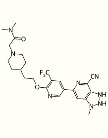 CN(C)C(=O)CN1CCC(CCOc2ncc(-c3cc4c(c(C#N)n3)NNN4C)cc2C(F)(F)F)CC1